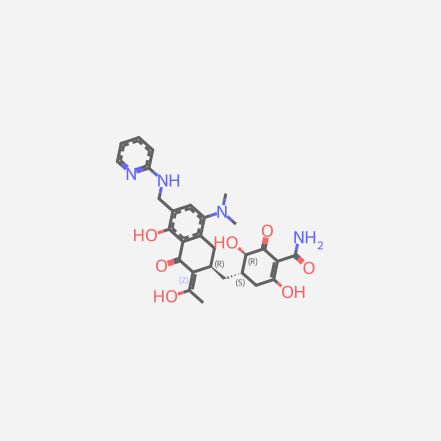 C/C(O)=C1/C(=O)c2c(O)c(CNc3ccccn3)cc(N(C)C)c2C[C@H]1C[C@H]1CC(O)=C(C(N)=O)C(=O)[C@@H]1O